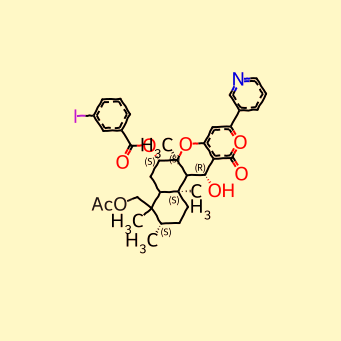 CC(=O)OCC1(C)C2C[C@H](OC(=O)c3cccc(I)c3)[C@@]3(C)Oc4cc(-c5cccnc5)oc(=O)c4[C@H](O)C3[C@@]2(C)CC[C@@H]1C